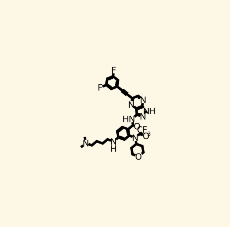 CN(C)CCCCNc1ccc(C(=O)Nc2n[nH]c3ncc(C#Cc4cc(F)cc(F)c4)nc23)c(N(C(=O)C(F)(F)F)C2CCOCC2)c1